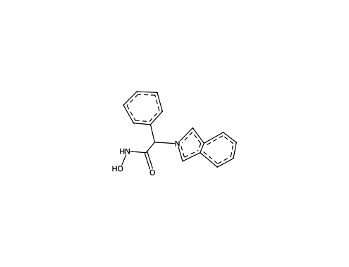 O=C(NO)C(c1ccccc1)n1cc2ccccc2c1